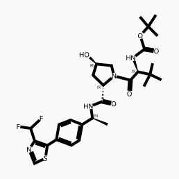 C[C@H](NC(=O)[C@@H]1C[C@@H](O)CN1C(=O)[C@@H](NC(=O)OC(C)(C)C)C(C)(C)C)c1ccc(-c2scnc2C(F)F)cc1